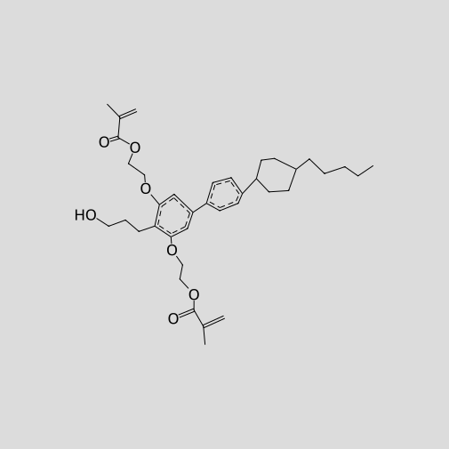 C=C(C)C(=O)OCCOc1cc(-c2ccc(C3CCC(CCCCC)CC3)cc2)cc(OCCOC(=O)C(=C)C)c1CCCO